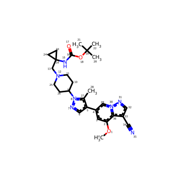 COc1cc(-c2cnn(C3CCN(CC4(NC(=O)OC(C)(C)C)CC4)CC3)c2C)cn2ncc(C#N)c12